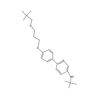 CC(C)(C)COCCCOc1ccc(-c2ccc(NC(C)(C)C)cn2)cc1